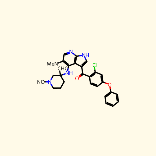 CNc1cnc2[nH]cc(C(=O)c3ccc(Oc4ccccc4)cc3Cl)c2c1NC1(C=O)CCCN(C#N)C1